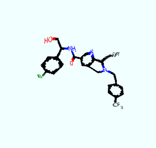 CC(C)C1c2ncc(C(=O)NC(CO)c3ccc(Br)cc3)cc2CN1Cc1ccc(C(F)(F)F)cc1